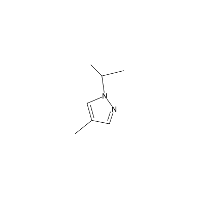 Cc1cnn(C(C)C)c1